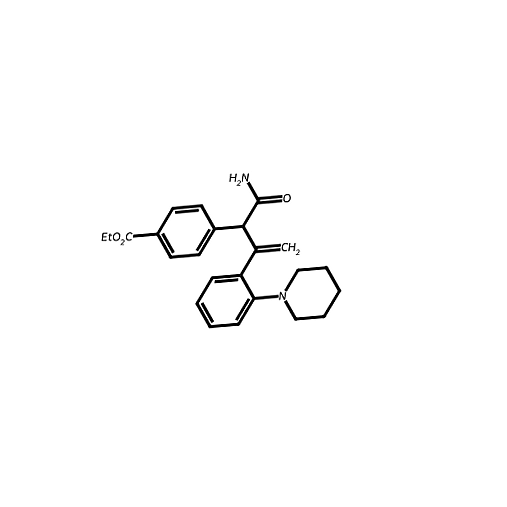 C=C(c1ccccc1N1CCCCC1)C(C(N)=O)c1ccc(C(=O)OCC)cc1